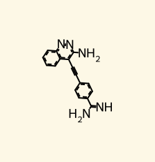 N=C(N)c1ccc(C#Cc2c(N)nnc3ccccc23)cc1